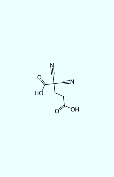 N#CC(C#N)(CCC(=O)O)C(=O)O